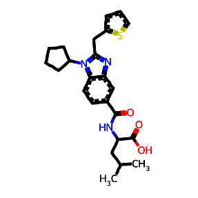 CC(C)CC(NC(=O)c1ccc2c(c1)nc(Cc1cccs1)n2C1CCCC1)C(=O)O